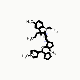 CCCC1(C)/C(=C\C=C2/CCC(C)=C2OC(c2cc[n+](C)cc2)C2CCCC2)N(CC)c2ccc(C)cc21